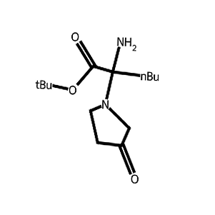 CCCCC(N)(C(=O)OC(C)(C)C)N1CCC(=O)C1